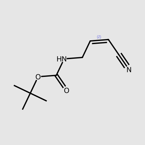 CC(C)(C)OC(=O)NC/C=C\C#N